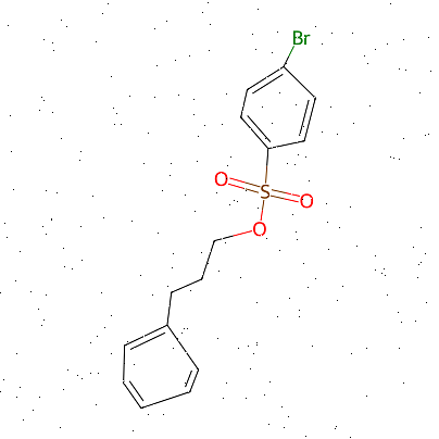 O=S(=O)(OCCCc1ccccc1)c1ccc(Br)cc1